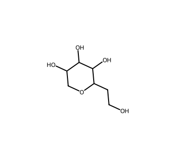 OCCC1OCC(O)C(O)C1O